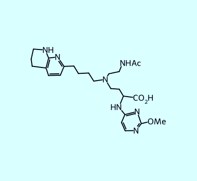 COc1nccc(NC(CCN(CCCCc2ccc3c(n2)NCCC3)CCNC(C)=O)C(=O)O)n1